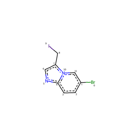 Brc1ccc2ncc(CI)n2c1